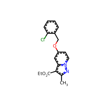 CCOC(=O)c1c(C)nn2ccc(OCc3ccccc3Cl)cc12